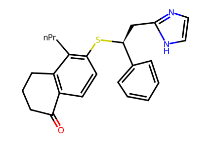 CCCc1c(S[C@@H](Cc2ncc[nH]2)c2ccccc2)ccc2c1CCCC2=O